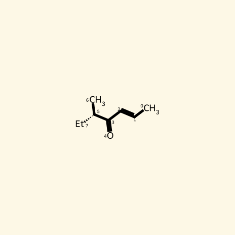 C/C=C/C(=O)[C@@H](C)CC